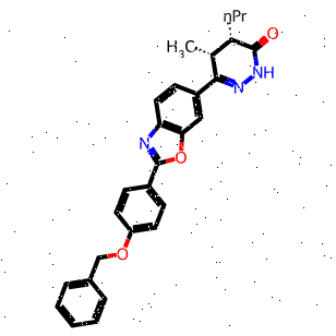 CCC[C@@H]1C(=O)NN=C(c2ccc3nc(-c4ccc(OCc5ccccc5)cc4)oc3c2)[C@@H]1C